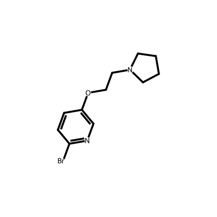 Brc1ccc(OCCN2CCCC2)cn1